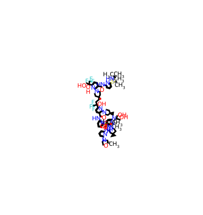 C/C=S(/NC(C)(C)C)c1cccc(NC(=O)c2ccc(C(O)(CO)C(F)(F)F)nc2N2CCC3(CC2)CC3CC(O)(c2ccc(C(=O)Nc3cccc(S(=O)(=O)NC(C)(C)C)n3)c(N3CCC4(CC3)CC4N(c3ccc(C(=O)Nc4cccc(N5CCO[C@H](C)C5)n4)c(N4CCC5(CC4)CC5)n3)C(C)(CO)CO)n2)C(F)(F)F)n1